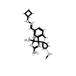 BC1(B)OC(N)=NC12c1cc(/C=N/OC3CCC3)ccc1C[C@]21CC[C@@H](OC)CC1